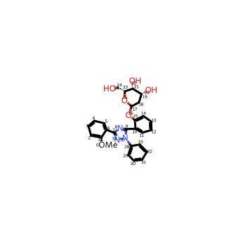 COc1ccccc1-c1nc(-c2ccccc2OC2C[C@@H](O)[C@@H](O)[C@@H](CO)O2)n(-c2ccccc2)n1